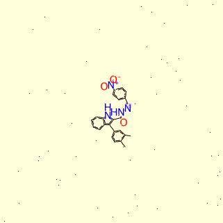 Cc1ccc(-c2c(C(=O)N/N=C\c3ccc([N+](=O)[O-])cc3)[nH]c3ccccc23)cc1C